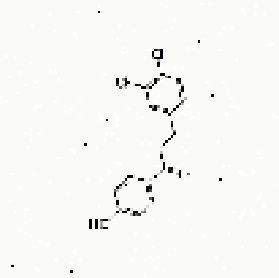 O=C(CCc1ccc(Cl)c(Cl)c1)c1ccc(O)cc1